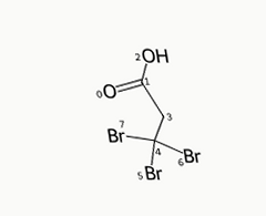 O=C(O)CC(Br)(Br)Br